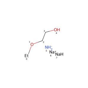 CCOCCO.[NH2-].[Na+].[NaH]